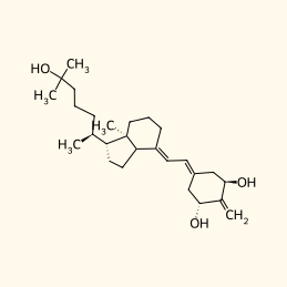 C=C1[C@H](O)CC(=C/C=C2\CCC[C@@]3(C)C2CC[C@@H]3[C@@H](C)CCCC(C)(C)O)C[C@H]1O